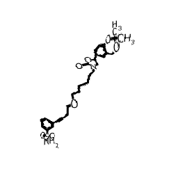 CC1(C)OCc2cc(C3CN(CCCCCCOCCC#Cc4cccc(S(N)(=O)=O)c4)C(=O)O3)ccc2O1